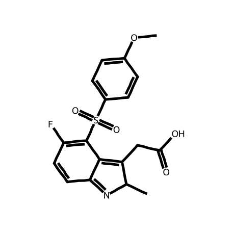 COc1ccc(S(=O)(=O)c2c(F)ccc3c2=C(CC(=O)O)C(C)N=3)cc1